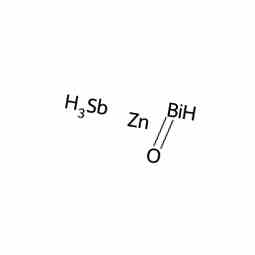 [O]=[BiH].[SbH3].[Zn]